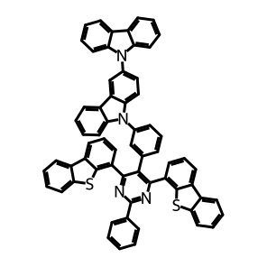 c1ccc(-c2nc(-c3cccc4c3sc3ccccc34)c(-c3cccc(-n4c5ccccc5c5cc(-n6c7ccccc7c7ccccc76)ccc54)c3)c(-c3cccc4c3sc3ccccc34)n2)cc1